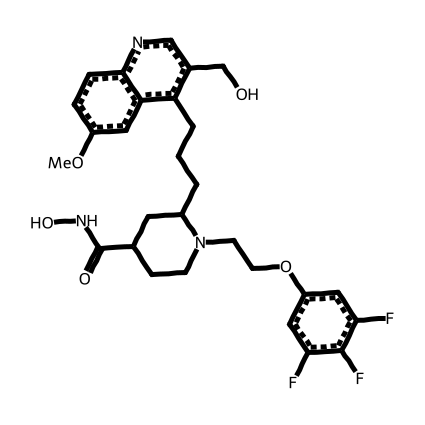 COc1ccc2ncc(CO)c(CCCC3CC(C(=O)NO)CCN3CCOc3cc(F)c(F)c(F)c3)c2c1